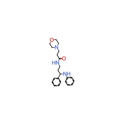 O=C(CCN1CCOCC1)NCCC(Nc1ccccc1)c1ccccc1